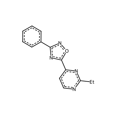 CCc1nccc(-c2nc(-c3ccccc3)no2)n1